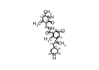 Cc1c(C(=O)NCC2C(=O)NC(C)CC2C)cc(Cl)cc1N(C)CC1CCNCC1